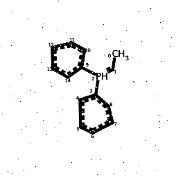 CC=[PH](c1ccccc1)c1ccccc1